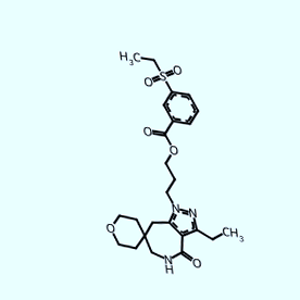 CCc1nn(CCCOC(=O)c2cccc(S(=O)(=O)CC)c2)c2c1C(=O)NCC1(CCOCC1)C2